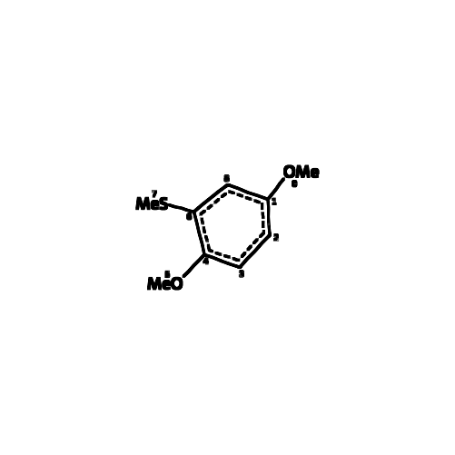 COc1ccc(OC)c(SC)c1